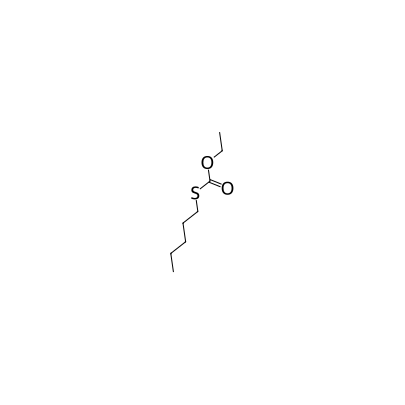 CCCCCSC(=O)OCC